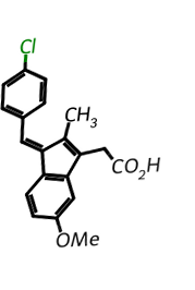 COc1ccc2c(c1)C(CC(=O)O)=C(C)/C2=C\c1ccc(Cl)cc1